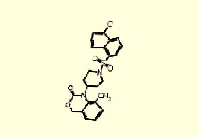 Cc1cccc2c1N(C1CCN(S(=O)(=O)c3cccc4c(Cl)cccc34)CC1)C(=O)OC2